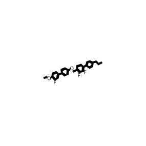 CCCc1ccc(-c2ccc(COc3ccc(-c4ccc(OCC)c(F)c4)cc3)c(F)c2F)cc1